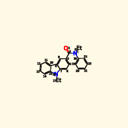 CCN(C(=O)c1ccc2c(c1)c1ccccc1n2CC)c1ccccc1